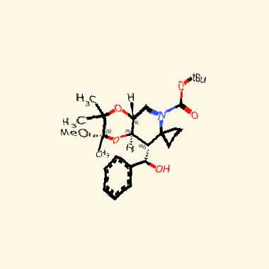 CO[C@@]1(C)O[C@@H]2[C@@H](C(O)c3ccccc3)C3(CC3)N(C(=O)OC(C)(C)C)C[C@H]2OC1(C)C